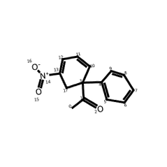 CC(=O)C1(c2ccccc2)C=CC=C([N+](=O)[O-])C1